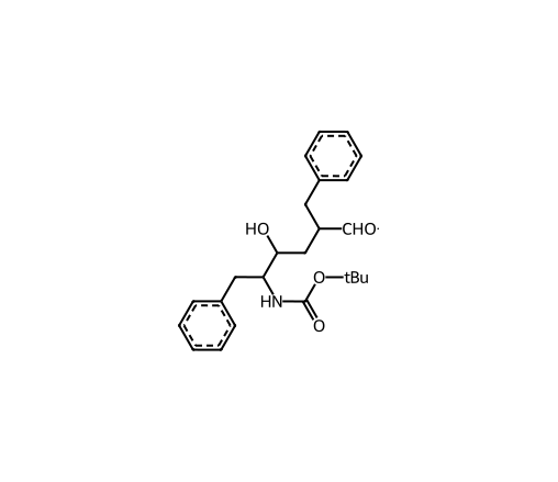 CC(C)(C)OC(=O)NC(Cc1ccccc1)C(O)CC([C]=O)Cc1ccccc1